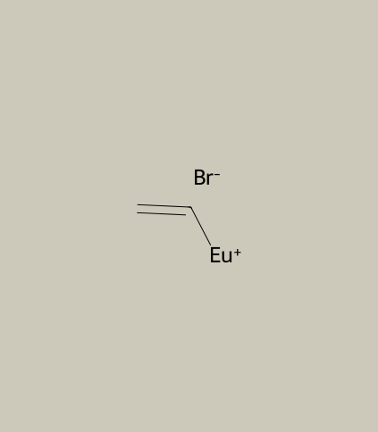 C=[CH][Eu+].[Br-]